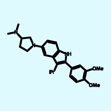 COc1ccc(-c2[nH]c3ccc(N4CCC(N(C)C)C4)cc3c2C(C)C)cc1OC